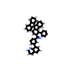 c1cc(-c2nc3ccccc3c3c4c(ccc23)C2(c3ccccc3-c3ccccc32)c2ccccc2-4)cc(-c2cccc3cccnc23)c1